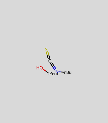 CCCC(C)O.CCCCN=C=S